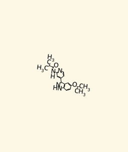 CC(C)Oc1ccc2[nH]nc(-c3ccnc(NC(=O)C(C)C)c3)c2c1